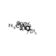 Cc1ccc(C(C)(C)OS(C)(=O)=O)cc1